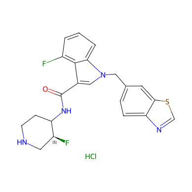 Cl.O=C(NC1CCNC[C@@H]1F)c1cn(Cc2ccc3ncsc3c2)c2cccc(F)c12